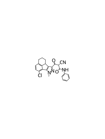 Cn1nc(C(=O)C(C#N)C(=O)Nc2ccccc2)c2c1-c1c(Cl)ccc3c1C2CCC3